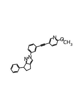 COc1ccc(C#Cc2cccc(-n3cc4c(n3)C(c3ccccc3)CC4)c2)cn1